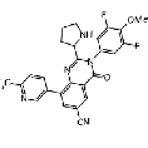 COc1c(F)cc(-n2c(C3CCCN3)nc3c(-c4ccc(C(F)(F)F)nc4)cc(C#N)cc3c2=O)cc1F